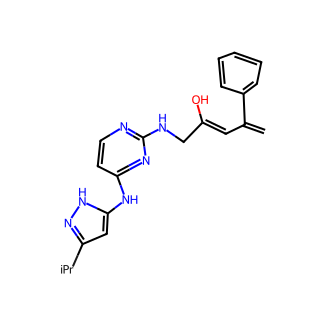 C=C(/C=C(\O)CNc1nccc(Nc2cc(C(C)C)n[nH]2)n1)c1ccccc1